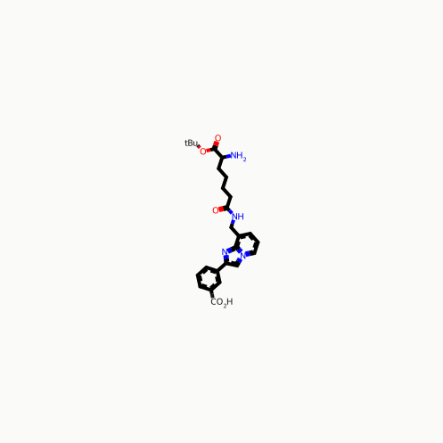 CC(C)(C)OC(=O)C(N)CCCCC(=O)NCc1cccn2cc(-c3cccc(C(=O)O)c3)nc12